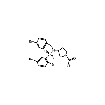 O=C(O)N1CC[C@@H](N(Cc2ccc(Br)cc2)S(=O)(=O)c2cc(Br)ccc2Br)C1